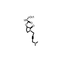 CCCCCCCCNC(=O)OC1CCN(CC#CCN(C)C)C1=O